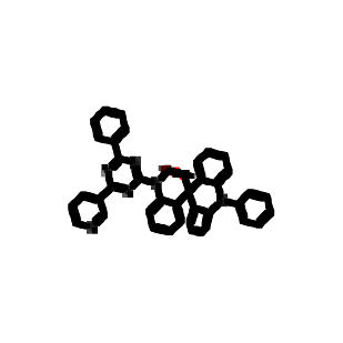 c1ccc(-c2nc(-c3cccnc3)nc(N3c4ccccc4C4(c5ccccc5N(c5ccccc5)c5ccccc54)c4ccccc43)n2)cc1